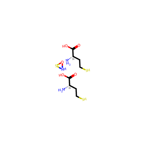 N[C@@H](CCS)C(=O)O.N[C@@H](CCS)C(=O)O.[nH]1os1